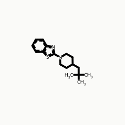 CC(C)(C)CC1CCN(c2nc3ccccc3s2)CC1